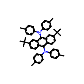 Cc1ccc(N(c2ccc(C)cc2)c2c3ccc(C(C)(C)C)cc3c(N(c3ccc(C)cc3)c3ccc(C)cc3)c3cc(C(C)(C)C)ccc23)cc1